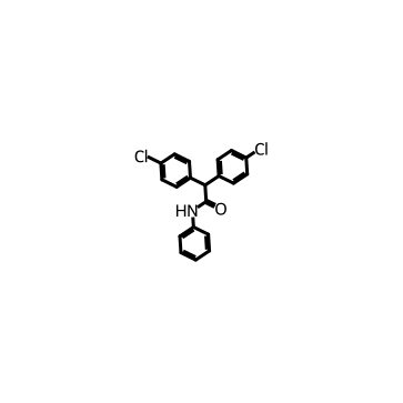 O=C(Nc1ccccc1)C(c1ccc(Cl)cc1)c1ccc(Cl)cc1